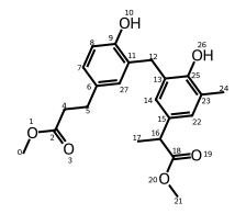 COC(=O)CCc1ccc(O)c(Cc2cc(C(C)C(=O)OC)cc(C)c2O)c1